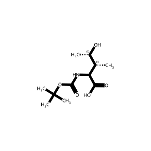 C[C@H](O)[C@H](C)C(NC(=O)OC(C)(C)C)C(=O)O